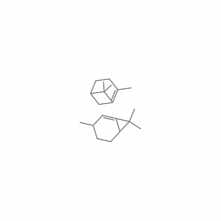 CC1=C2CC(CC1)C2(C)C.CC1C=C2C(CC1)C2(C)C